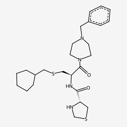 O=C(N[C@@H](CSCC1CCCCC1)C(=O)N1CCN(Cc2ccccc2)CC1)[C@@H]1CSCN1